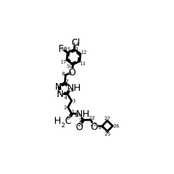 C=C(CCc1nnc(COc2ccc(Cl)c(F)c2)[nH]1)NC(=O)COC1CCC1